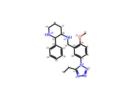 CCc1nnnn1-c1ccc(OC)c(CNC2CCCNC2c2ccccc2)c1